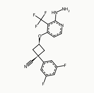 N#C[C@]1(c2cc(F)cc(F)c2)C[C@H](Oc2ccnc(NN)c2C(F)(F)F)C1